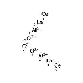 [Al+3].[Al+3].[Ce].[Ce].[La].[La].[O-2].[O-2].[O-2]